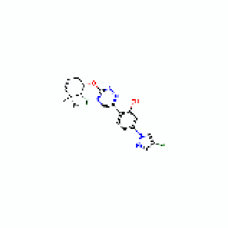 CC[C@]1(C)C=CC[C@H](Oc2ncc(-c3ccc(-n4cc(F)cn4)cc3O)nn2)[C@@H]1F